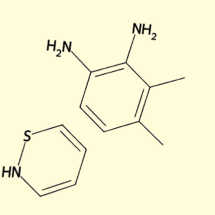 C1=CNSC=C1.Cc1ccc(N)c(N)c1C